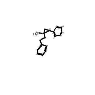 NC1(CCc2ccccc2)CC1c1ccccc1